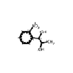 CC(O)C(O)c1ccccc1[N+](=O)[O-]